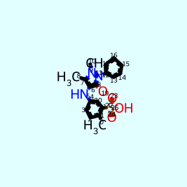 Cc1ccc(Nc2c(C)n(C)n(-c3ccccc3)c2=O)cc1S(=O)(=O)O